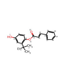 CCC(C)(C)c1cc(O)ccc1OC(=O)C=Cc1ccccc1